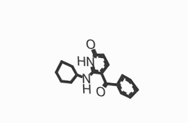 O=C(c1ccccc1)c1ccc(=O)[nH]c1NC1CCCCC1